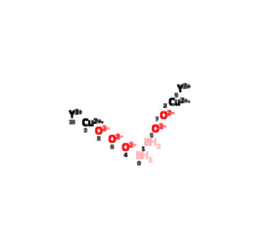 B.B.[Cu+2].[Cu+2].[O-2].[O-2].[O-2].[O-2].[O-2].[Y+3].[Y+3]